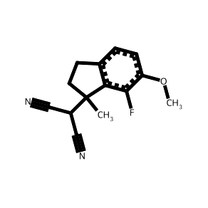 COc1ccc2c(c1F)C(C)(C(C#N)C#N)CC2